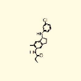 CCC(=O)Nc1cc2c(cc1C)C(Nc1cccc(Cl)c1)CC2